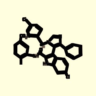 Cc1ccc(C(=O)O)cc1NC(=O)c1[nH]c2cc(Cl)ccc2c1-c1c(-c2ccccc2)ncn1[C@@H](C)c1ccc(Cl)cc1